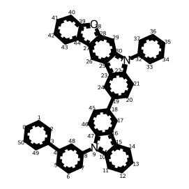 c1ccc(-c2cccc(-n3c4ccccc4c4cc(-c5ccc6c(c5)c5cc7c(cc5n6-c5ccccc5)oc5ccccc57)ccc43)c2)cc1